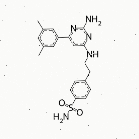 Cc1cc(C)cc(-c2cc(NCCc3ccc(S(N)(=O)=O)cc3)nc(N)n2)c1